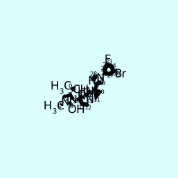 CC(C)[C@H]1CN(C)C(O)N1c1ccnc(NC2(c3cn(-c4cc(F)cc(Br)c4)cn3)CC2)n1